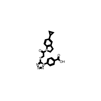 O=C(O)c1ccc(-n2nnnc2SCC(=O)N2CCc3cc(C4CC4)ccc32)cc1